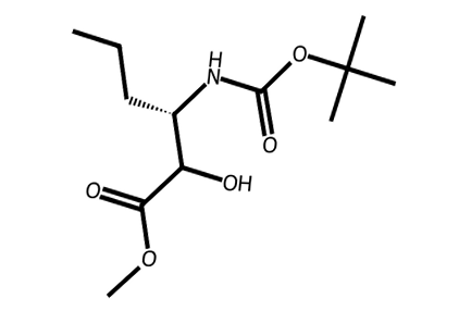 CCC[C@H](NC(=O)OC(C)(C)C)C(O)C(=O)OC